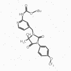 CCCCOC(=O)Nc1cc(CN2C(=O)N(c3ccc(OC(F)(F)F)cc3)C(=O)C2(C)C)ccn1